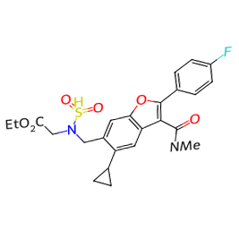 CCOC(=O)CN(Cc1cc2oc(-c3ccc(F)cc3)c(C(=O)NC)c2cc1C1CC1)[SH](=O)=O